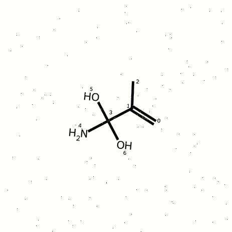 C=C(C)C(N)(O)O